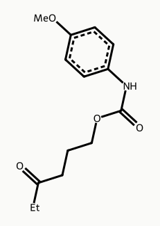 CCC(=O)CCCOC(=O)Nc1ccc(OC)cc1